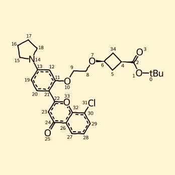 CC(C)(C)OC(=O)[C@H]1C[C@@H](OCCOc2cc(N3CCCC3)ccc2-c2cc(=O)c3cccc(Cl)c3o2)C1